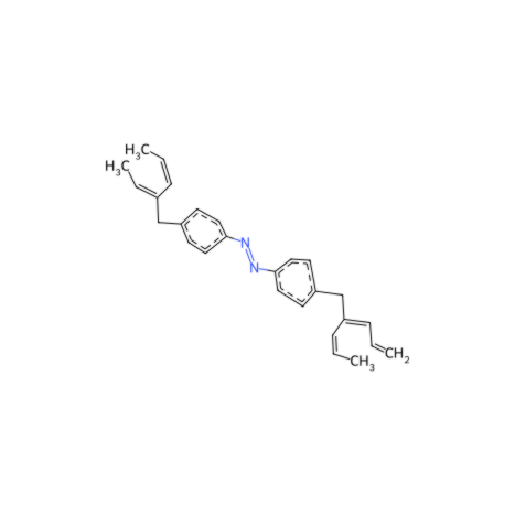 C=C/C=C(\C=C/C)Cc1ccc(N=Nc2ccc(CC(/C=C\C)=C/C)cc2)cc1